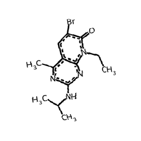 CCn1c(=O)c(Br)cc2c(C)nc(NC(C)C)nc21